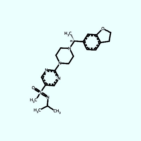 CC(C)N=S(C)(=O)c1cnc(N2CCN([C@H](C)c3ccc4c(c3)OCC4)CC2)nc1